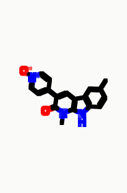 Cc1ccc2[nH]c3c(cc(-c4cc[n+]([O-])cc4)c(=O)n3C)c2c1